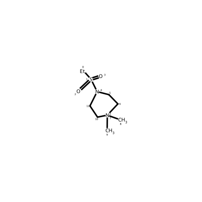 CCS(=O)(=O)N1CC[N+](C)(C)CC1